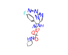 CN(C#N)c1nccc(-c2[nH]c(C3OCC(C)(C(=O)NC4CCCCC4)CO3)nc2-c2ccc(F)cc2)n1